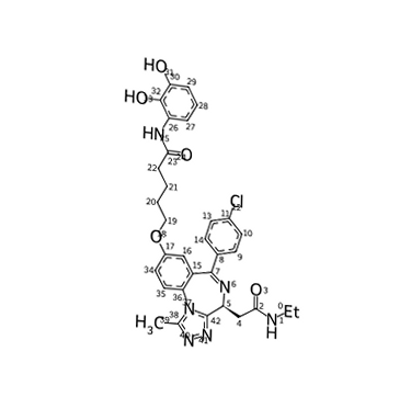 CCNC(=O)C[C@@H]1N=C(c2ccc(Cl)cc2)c2cc(OCCCCC(=O)Nc3cccc(O)c3O)ccc2-n2c(C)nnc21